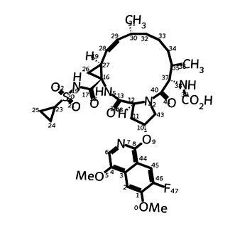 COc1cc2c(OC)cnc(O[C@@H]3C[C@H]4C(=O)N[C@]5(C(=O)NS(=O)(=O)C6CC6)C[C@H]5/C=C\[C@H](C)CCC[C@@H](C)[C@H](NC(=O)O)C(=O)N4C3)c2cc1F